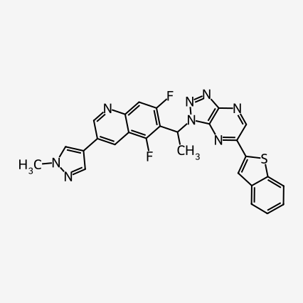 CC(c1c(F)cc2ncc(-c3cnn(C)c3)cc2c1F)n1nnc2ncc(-c3cc4ccccc4s3)nc21